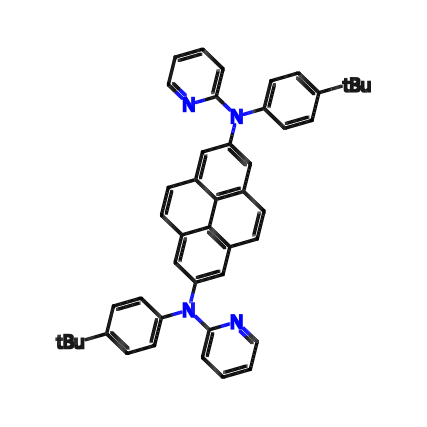 CC(C)(C)c1ccc(N(c2cc3ccc4cc(N(c5ccc(C(C)(C)C)cc5)c5ccccn5)cc5ccc(c2)c3c45)c2ccccn2)cc1